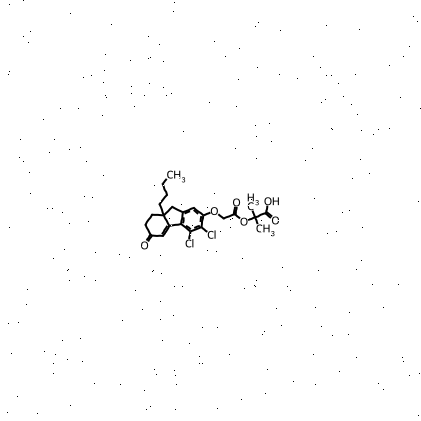 CCCCC12CCC(=O)C=C1c1c(cc(OCC(=O)OC(C)(C)C(=O)O)c(Cl)c1Cl)C2